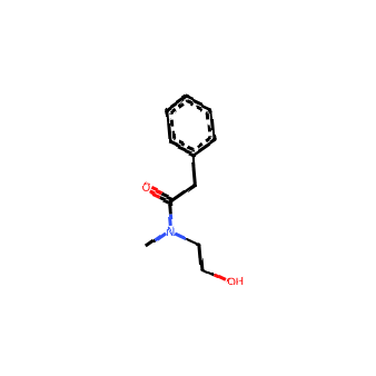 CN(CCO)C(=O)Cc1ccccc1